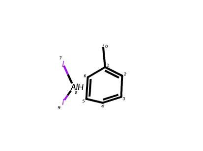 [CH2]c1ccccc1.[I][AlH][I]